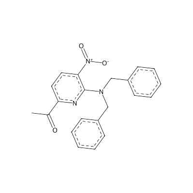 CC(=O)c1ccc([N+](=O)[O-])c(N(Cc2ccccc2)Cc2ccccc2)n1